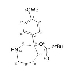 COc1ccc(C2(OC(=O)C(C)(C)C)CCCCNC2)cc1